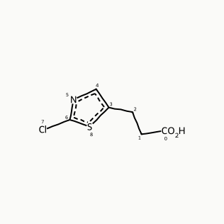 O=C(O)CCc1cnc(Cl)s1